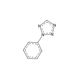 c1ccc(-n2ncnn2)cc1